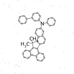 CC1(C)c2c(ccc3cc(N(c4ccccc4)c4cccc(-c5ccccc5)c4)ccc23)-c2c1c1ccccc1c1ccccc21